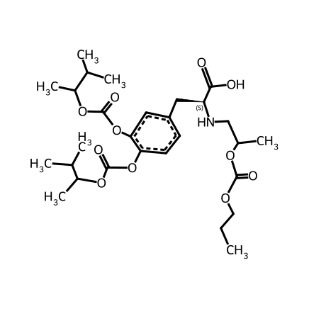 CCCOC(=O)OC(C)CN[C@@H](Cc1ccc(OC(=O)OC(C)C(C)C)c(OC(=O)OC(C)C(C)C)c1)C(=O)O